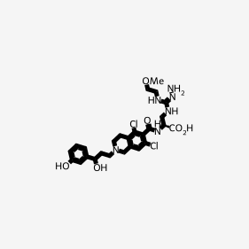 COCCN/C(=N\N)NC[C@H](NC(=O)c1c(Cl)cc2c(c1Cl)CCN(CCC(O)c1cccc(O)c1)C2)C(=O)O